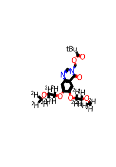 [2H]C([2H])([2H])OC([2H])([2H])C([2H])([2H])Oc1cc2ncn(COC(=O)C(C)(C)C)c(=O)c2cc1OC([2H])([2H])C([2H])([2H])OC([2H])([2H])[2H]